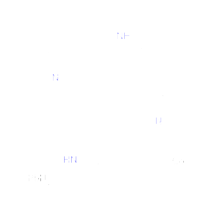 C1=Cc2cc3ccc(cc4nc(cc5ccc(cc1n2)[nH]5)C=C4)[nH]3.[Co].[PbH2]